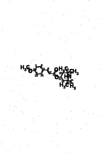 COc1ccc(C=CC(=O)OC2CC(C)(C)NC(C)(C)C2)cc1